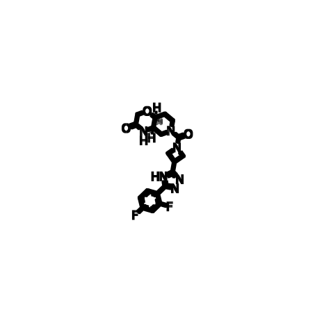 O=C1CO[C@H]2CCN(C(=O)N3CC(c4nnc(-c5ccc(F)cc5F)[nH]4)C3)C[C@H]2N1